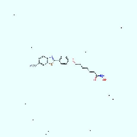 COc1ccc2nc(-c3ccc(OCCCCCCC(=O)NO)cc3)sc2c1